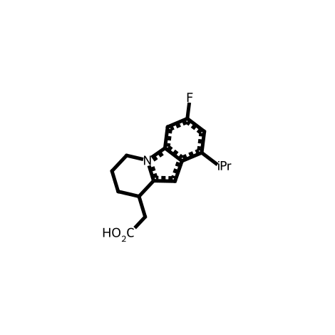 CC(C)c1cc(F)cc2c1cc1n2CCCC1CC(=O)O